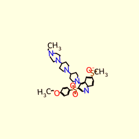 CCOc1ccc(S(=O)(=O)c2cnc3ccc([S+](C)[O-])cc3c2N2CCC(N3CCC(N4CCN(CC)CC4)CC3)CC2)cc1